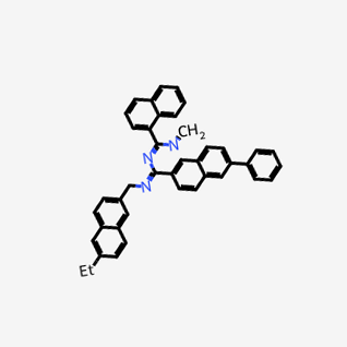 C=N/C(=N\C(=N/Cc1ccc2cc(CC)ccc2c1)c1ccc2cc(-c3ccccc3)ccc2c1)c1cccc2ccccc12